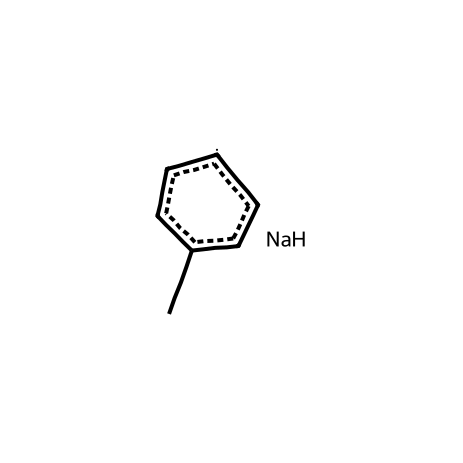 Cc1cc[c]cc1.[NaH]